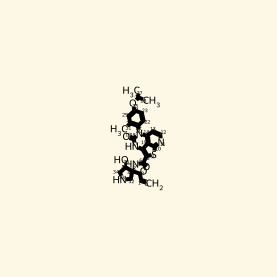 C=CC(=O)[C@]1(NC(=O)c2sc3nccc4c3c2NC(=O)N4c2ccc(OC(C)C)cc2C)CNC[C@H]1O